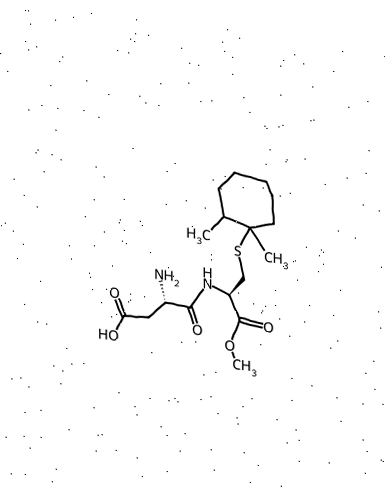 COC(=O)[C@H](CSC1(C)CCCCCC1C)NC(=O)[C@@H](N)CC(=O)O